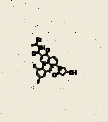 C=C(CC)NC(=O)c1cn(-c2c(F)cc(F)cc2F)c2nc(N3CC(O)CC3=O)ccc2c1=O